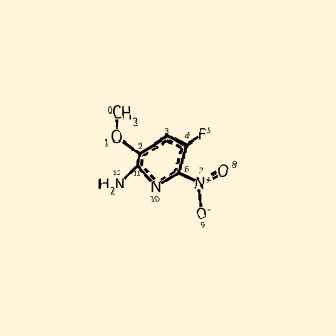 COc1cc(F)c([N+](=O)[O-])nc1N